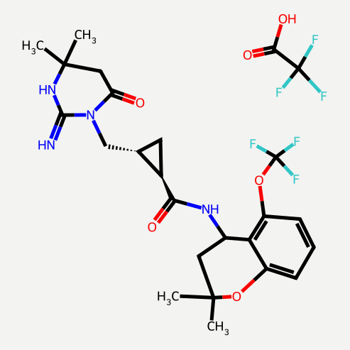 CC1(C)CC(=O)N(C[C@@H]2C[C@H]2C(=O)NC2CC(C)(C)Oc3cccc(OC(F)(F)F)c32)C(=N)N1.O=C(O)C(F)(F)F